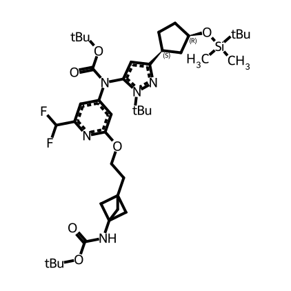 CC(C)(C)OC(=O)NC12CC(CCOc3cc(N(C(=O)OC(C)(C)C)c4cc([C@H]5CC[C@@H](O[Si](C)(C)C(C)(C)C)C5)nn4C(C)(C)C)cc(C(F)F)n3)(C1)C2